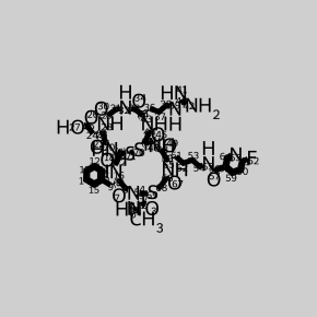 CNC(=O)[C@H]1NC(=O)[C@H](Cc2ccccc2)NC(=O)[C@H]2NC(=O)[C@H](CC(=O)O)NC(=O)CNC(=O)[C@H](CCCNC(=N)N)NC(=O)[C@@H](NC(=O)[C@H](CCCCNC(=O)c3ccc(F)nc3)NC(=O)CS1)SS2